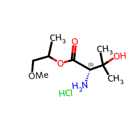 COCC(C)OC(=O)[C@@H](N)C(C)(C)O.Cl